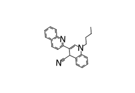 CCCCN1C=C(c2ccc3ccccc3n2)C(C#N)c2ccccc21